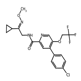 CON=C(CNC(=O)c1cc(-c2ccc(Cl)cc2)c(OCC(F)(F)F)cn1)C1CC1